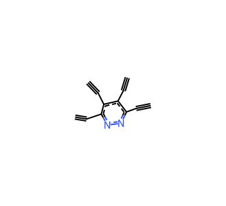 C#Cc1nnc(C#C)c(C#C)c1C#C